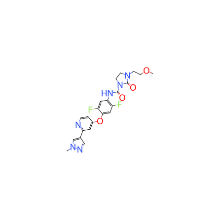 COCCN1CCN(C(=O)Nc2cc(F)c(Oc3ccnc(-c4cnn(C)c4)c3)cc2F)C1=O